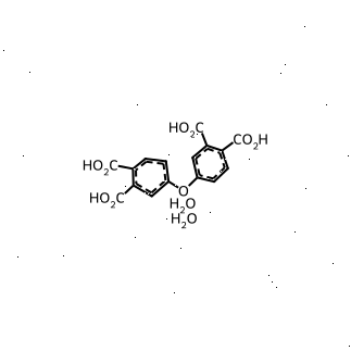 O.O.O=C(O)c1ccc(Oc2ccc(C(=O)O)c(C(=O)O)c2)cc1C(=O)O